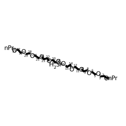 CCCOCCOCCOCCOCCOCCO[SiH2]OCCOCCOCCOCCOCCOCCC